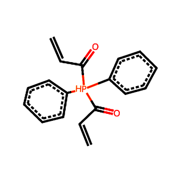 C=CC(=O)[PH](C(=O)C=C)(c1ccccc1)c1ccccc1